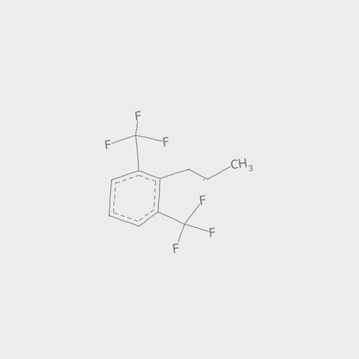 C[CH]Cc1c(C(F)(F)F)cccc1C(F)(F)F